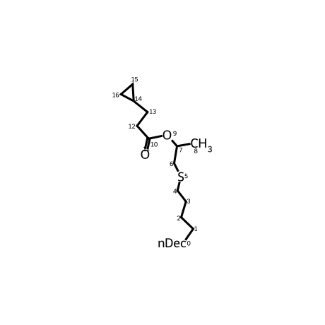 CCCCCCCCCCCCCCSCC(C)OC(=O)CCC1CC1